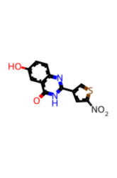 O=c1[nH]c(-c2csc([N+](=O)[O-])c2)nc2ccc(O)cc12